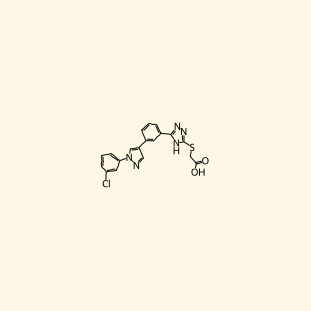 O=C(O)CSc1nnc(-c2cccc(-c3cnn(-c4cccc(Cl)c4)c3)c2)[nH]1